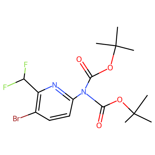 CC(C)(C)OC(=O)N(C(=O)OC(C)(C)C)c1ccc(Br)c(C(F)F)n1